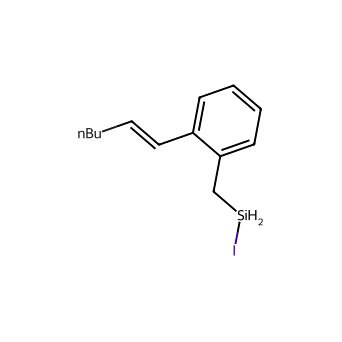 CCCCC=Cc1ccccc1C[SiH2]I